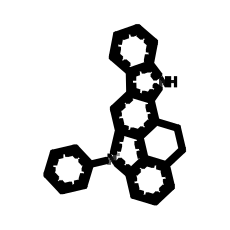 c1ccc(-n2c3cccc4c3c3c(c5[nH]c6ccccc6c5cc32)CC4)cc1